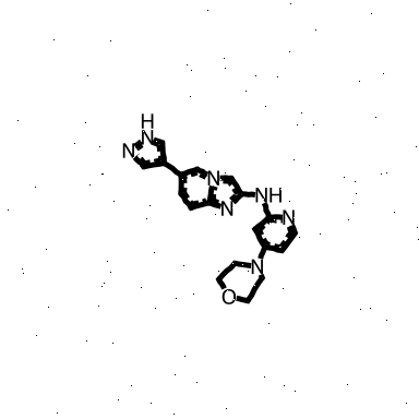 c1cc(N2CCOCC2)cc(Nc2cn3cc(-c4cn[nH]c4)ccc3n2)n1